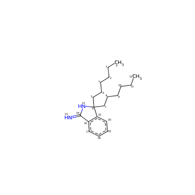 CCCCCCC1(CCCCCC)NC(=N)c2ccccc21